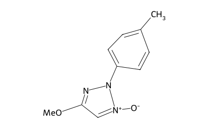 COc1c[n+]([O-])n(-c2ccc(C)cc2)n1